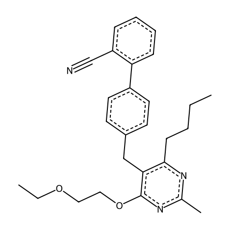 CCCCc1nc(C)nc(OCCOCC)c1Cc1ccc(-c2ccccc2C#N)cc1